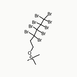 C[Si](C)(C)OCCC(Br)(Br)C(Br)(Br)C(Br)(Br)C(Br)(Br)Br